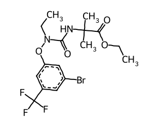 CCOC(=O)C(C)(C)NC(=O)N(CC)Oc1cc(Br)cc(C(F)(F)F)c1